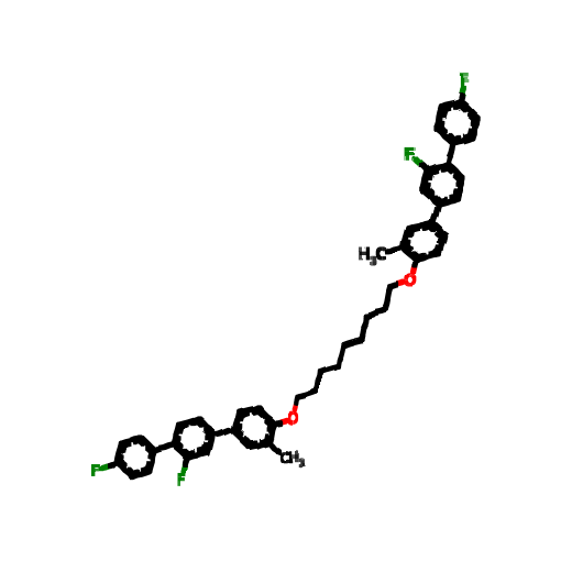 Cc1cc(-c2ccc(-c3ccc(F)cc3)c(F)c2)ccc1OCCCCCCCCCOc1ccc(-c2ccc(-c3ccc(F)cc3)c(F)c2)cc1C